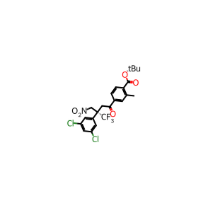 Cc1cc(C(=O)C[C@](C[N+](=O)[O-])(c2cc(Cl)cc(Cl)c2)C(F)(F)F)ccc1C(=O)OC(C)(C)C